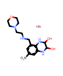 Br.O=[N+]([O-])c1cc(CNCCN2CCOCC2)c2c(c1)NC(O)C(O)N2